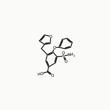 NS(=O)(=O)c1cc(C(=O)O)cc(Cc2ccoc2)c1Oc1ccccc1